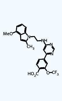 COc1cccc2c1cc(C)n2CCNc1cc(-c2ccc(C(=O)O)c(OC(F)(F)F)c2)ncn1